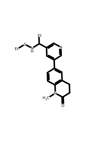 CCSNC(CC)c1cncc(-c2ccc3c(c2)CCC(=O)N3C)c1